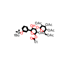 CCC(=O)O[C@H]1OC(c2cccc(O[Si](C)(C)C(C)(C)C)c2)[C@@H](O)[C@@H](O[C@H]2O[C@H](COC(C)=O)[C@@H](OC(C)=O)[C@H](OC(C)=O)[C@@H]2OC(C)=O)[C@H]1OC(C)=O